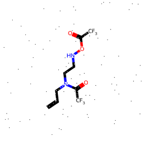 C=CCN(CCNOC(=O)C(F)(F)F)C(=O)C(F)(F)F